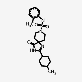 Cc1ccccc1NS(=O)(=O)N1CCC2(CC1)N=C(C1CCC(C)CC1)NC2=O